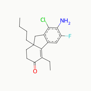 CCCCC12CCC(=O)C(CC)=C1c1cc(F)c(N)c(Cl)c1C2